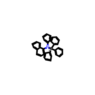 c1ccc(N(c2cccc3ccccc23)[Si](c2ccccc2)(c2ccccc2)c2ccccc2)cc1